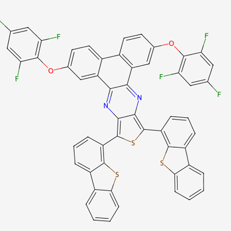 Fc1cc(F)c(Oc2ccc3c4ccc(Oc5c(F)cc(F)cc5F)cc4c4nc5c(-c6cccc7c6sc6ccccc67)sc(-c6cccc7c6sc6ccccc67)c5nc4c3c2)c(F)c1